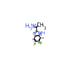 CC(N)c1nc2cc(F)c(F)cc2[nH]1